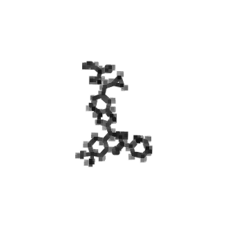 CCCC(=O)N[C@@H](c1cnn2cc([C@@H](NC(=O)c3ccncn3)C3CCC(F)(F)CC3)nc2c1)C1CC1